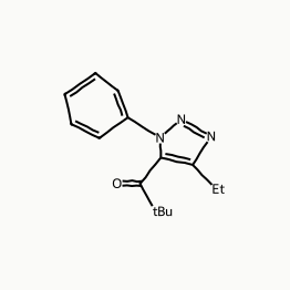 CCc1nnn(-c2ccccc2)c1C(=O)C(C)(C)C